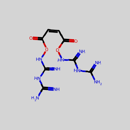 N=C(N)NC(=N)NOC(=O)/C=C\C(=O)ONC(=N)NC(=N)N